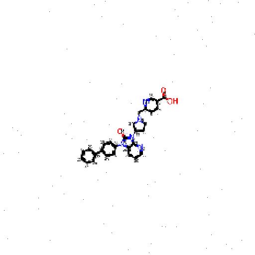 O=C(O)c1ccc(CN2CC[C@H](n3c(=O)n(-c4ccc(-c5ccccc5)cc4)c4cccnc43)C2)nc1